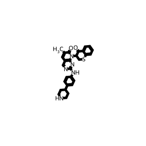 Cc1cc2cnc(Nc3ccc(C4CCNCC4)cc3)nc2n(C2CSc3ccccc3C2=O)c1=O